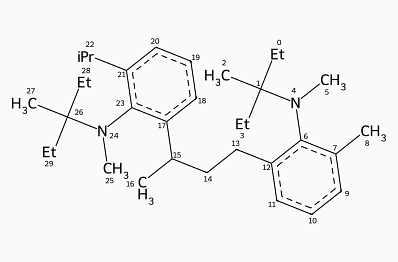 CCC(C)(CC)N(C)c1c(C)cccc1CCC(C)c1cccc(C(C)C)c1N(C)C(C)(CC)CC